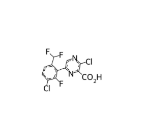 O=C(O)c1nc(-c2c(C(F)F)ccc(Cl)c2F)cnc1Cl